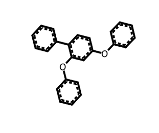 c1ccc(Oc2ccc(-c3ccccc3)c(Oc3ccccc3)c2)cc1